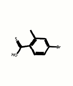 Cc1cc(Br)ccc1C(O)=S